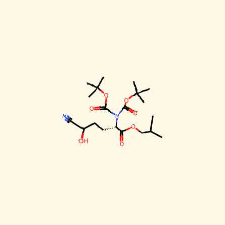 CC(C)COC(=O)[C@H](CCC(O)C#N)N(C(=O)OC(C)(C)C)C(=O)OC(C)(C)C